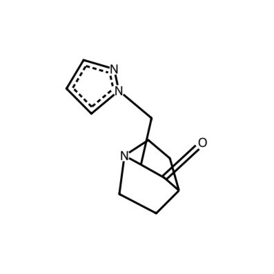 O=C1C2CCN(CC2)C1Cn1cccn1